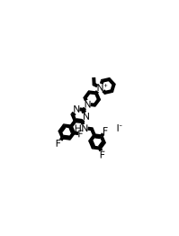 CC[N+]1(C2CCN(c3ncc(-c4ccc(F)cc4F)c(NCc4ccc(F)cc4F)n3)CC2)CCCCC1.[I-]